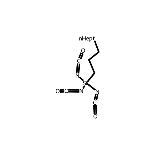 CCCCCCCCCC[Si](N=C=O)(N=C=O)N=C=O